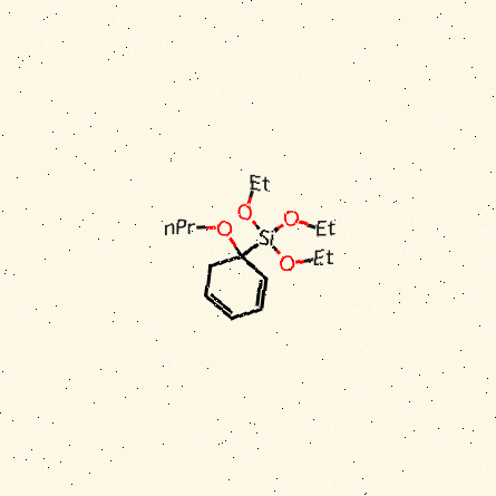 CCCOC1([Si](OCC)(OCC)OCC)C=CC=CC1